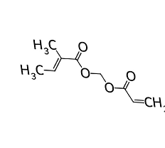 C=CC(=O)OCOC(=O)C(C)=CC